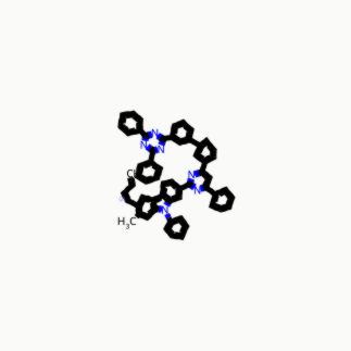 C=C/C=C\c1cc2c3ccc(-c4nc(-c5ccccc5)cc(-c5cccc(-c6cccc(-c7nc(-c8ccccc8)nc(-c8ccccc8)n7)c6)c5)n4)cc3n(-c3ccccc3)c2cc1C